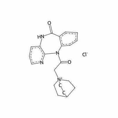 O=C1Nc2cccnc2N(C(=O)C[N+]23CCC(CC2)CC3)c2ccccc21.[Cl-]